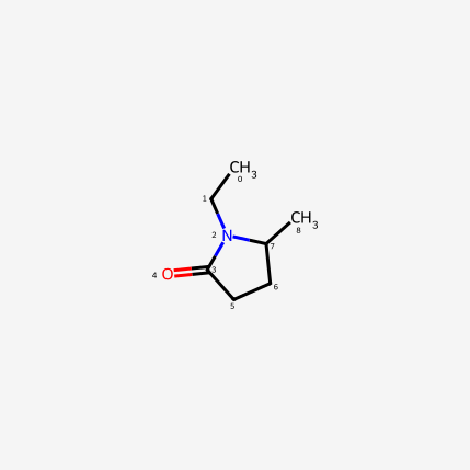 CCN1C(=O)CCC1C